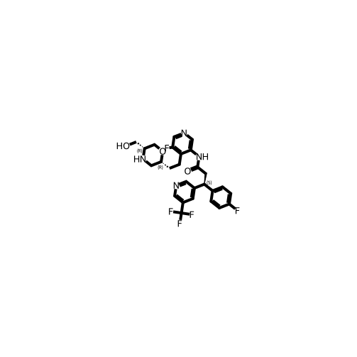 O=C(C[C@@H](c1ccc(F)cc1)c1cncc(C(F)(F)F)c1)Nc1cncc(F)c1CC[C@@H]1CN[C@H](CO)CO1